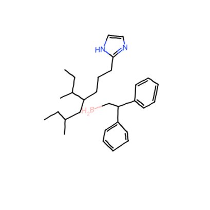 BCC(c1ccccc1)c1ccccc1.CCC(C)CC(CCCc1ncc[nH]1)C(C)CC